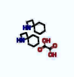 C1CCC2(CC1)CCN2.C1CCC2(CC1)CCN2.O=C(O)C(=O)O